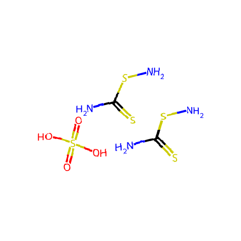 NSC(N)=S.NSC(N)=S.O=S(=O)(O)O